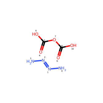 NN=NN.O=C(O)OC(=O)O